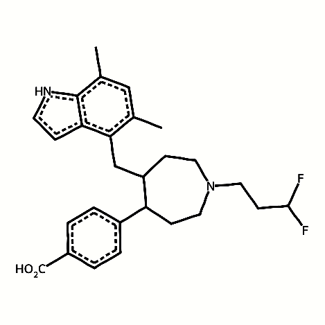 Cc1cc(C)c2[nH]ccc2c1CC1CCN(CCC(F)F)CCC1c1ccc(C(=O)O)cc1